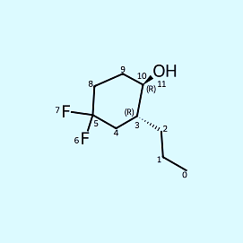 CCC[C@@H]1CC(F)(F)CC[C@H]1O